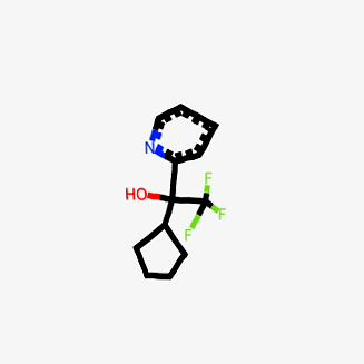 OC(c1ccccn1)(C1CCCC1)C(F)(F)F